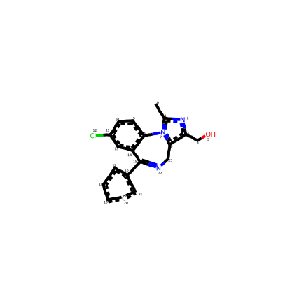 Cc1nc(CO)c2n1-c1ccc(Cl)cc1C(c1ccccc1)=NC2